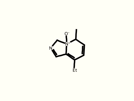 CCC1=C2C=NC[N+]2([O-])C(C)C=C1